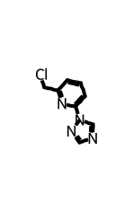 ClCc1cccc(-n2cncn2)n1